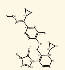 CON=C(c1ccc(OCC2=C(n3nnn(C)c3=O)C=CCC2C2CC2)c(C)c1)C1CC1